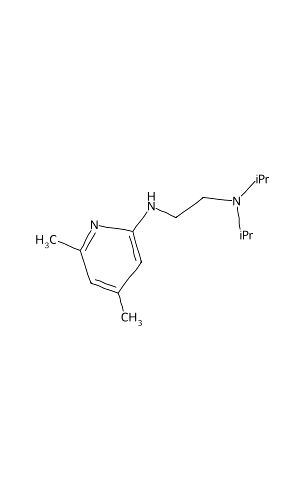 Cc1cc(C)nc(NCCN(C(C)C)C(C)C)c1